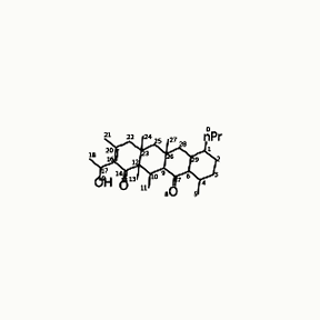 CCCC1CCC(C)C2C(=O)C3C(C)C4(C)C(=O)C(C(C)O)=C(C)CC4(C)CC3(C)CC12